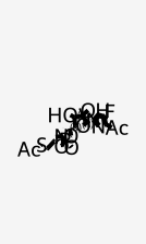 CC(=O)SCCOP(=O)(OC[C@H]1O[C@@H](n2cc(F)c(C(C)=O)n2)[C@@](C)(O)C1O)N(C)C